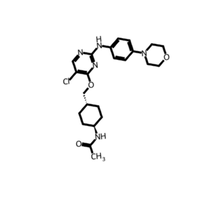 CC(=O)N[C@H]1CC[C@H](COc2nc(Nc3ccc(N4CCOCC4)cc3)ncc2Cl)CC1